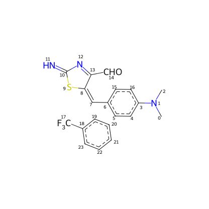 CN(C)c1ccc(C=C2SC(=N)N=C2C=O)cc1.FC(F)(F)c1ccccc1